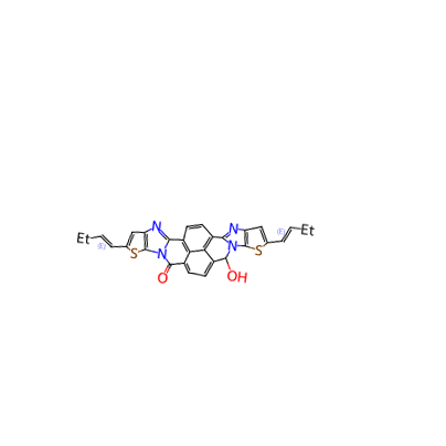 CC/C=C/c1cc2nc3n(c2s1)C(O)c1ccc2c(=O)n4c(nc5cc(/C=C/CC)sc54)c4ccc-3c1c24